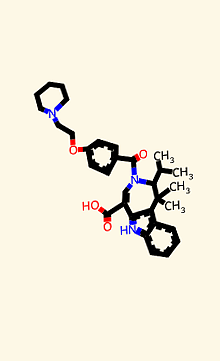 CC(C)C1N(C(=O)c2ccc(OCCN3CCCCC3)cc2)C=C(C(=O)O)c2[nH]c3ccccc3c2C1(C)C